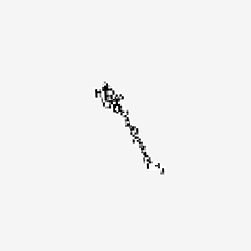 CCOCCOCCOCCOCCOCCOc1ccc2c(c1)C(=O)N(C1CCC(=O)NC1=O)C2=O